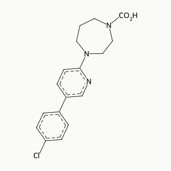 O=C(O)N1CCCN(c2ccc(-c3ccc(Cl)cc3)cn2)CC1